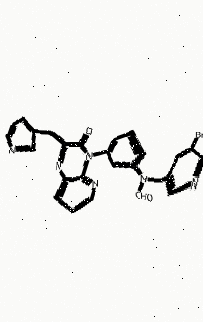 O=CN(c1cncc(Br)c1)c1cccc(-n2c(=O)c(Cc3cccnc3)nc3cccnc32)c1